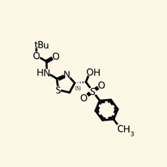 Cc1ccc(S(=O)(=O)C(O)[C@@H]2CSC(NC(=O)OC(C)(C)C)=N2)cc1